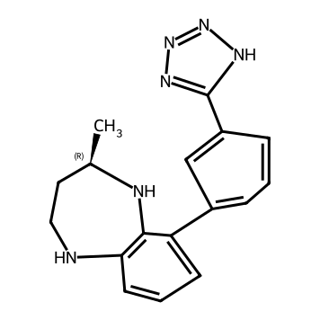 C[C@@H]1CCNc2cccc(-c3cccc(-c4nnn[nH]4)c3)c2N1